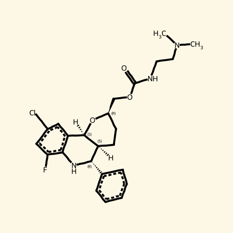 CN(C)CCNC(=O)OC[C@H]1CC[C@@H]2[C@H](O1)c1cc(Cl)cc(F)c1N[C@H]2c1ccccc1